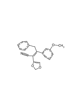 COc1cccc(C(Cc2ccccc2)=C(C#N)C2=COCO2)c1